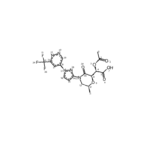 CC(=O)O[C@@H](C(=O)O)[C@H]1O[C@@H](C)CN(c2ccn(-c3cnnc(C(F)(F)F)c3)n2)C1=O